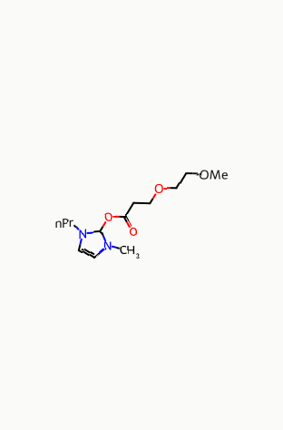 CCCN1C=CN(C)C1OC(=O)CCOCCOC